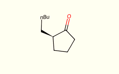 CCCCC[C@@H]1CCCC1=O